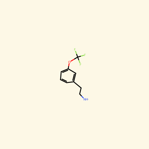 [NH]CCc1cccc(OC(F)(F)F)c1